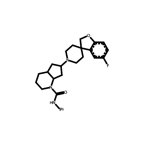 CC(C)NC(=O)N1CCCC2CC(N3CCC4(CC3)COc3ccc(F)cc34)CC21